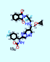 CC(C)(C)OC(=O)N[C@H](c1cn2ncc([C@@H](COC3CC3)NCC(F)(F)CN3C(=O)c4ccccc4C3=O)cc2n1)C1CCC(F)(F)CC1